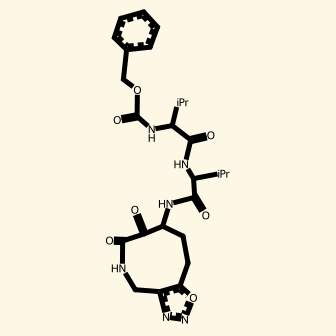 CC(C)C(NC(=O)OCc1ccccc1)C(=O)NC(C(=O)NC1CCc2onnc2CNC(=O)C1=O)C(C)C